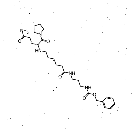 NC(=O)CCC(NCCCCCC(=O)NCCCNC(=O)OCc1ccccc1)C(=O)N1CCCC1